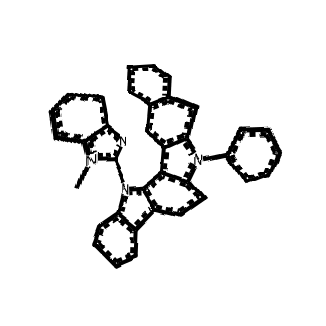 Cn1c(-n2c3ccccc3c3ccc4c(c5cc6ccccc6cc5n4-c4ccccc4)c32)nc2ccccc21